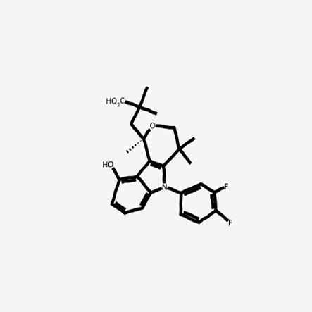 CC(C)(C[C@@]1(C)OCC(C)(C)c2c1c1c(O)cccc1n2-c1ccc(F)c(F)c1)C(=O)O